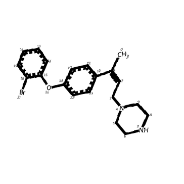 CC(=CCN1CCNCC1)c1ccc(Oc2ccccc2Br)cc1